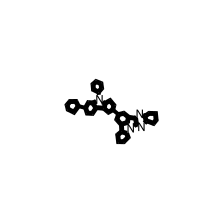 c1ccc(-c2ccc3c4cc(-c5cc6c7ccccc7n7c8nc9ccccc9nc8c(c5)c67)ccc4n(-c4ccccc4)c3c2)cc1